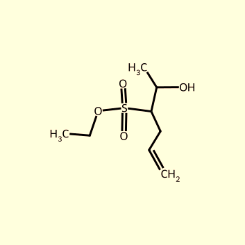 C=CCC(C(C)O)S(=O)(=O)OCC